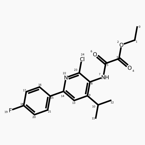 CCOC(=O)C(=O)Nc1c(C(C)C)cc(-c2ccc(F)cc2)nc1Cl